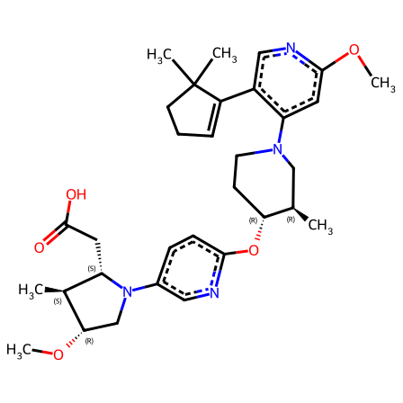 COc1cc(N2CC[C@@H](Oc3ccc(N4C[C@H](OC)[C@@H](C)[C@@H]4CC(=O)O)cn3)[C@H](C)C2)c(C2=CCCC2(C)C)cn1